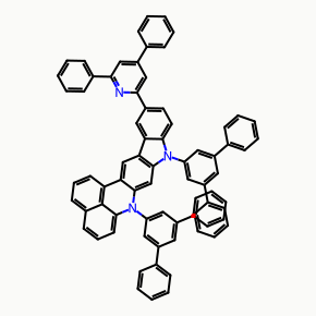 c1ccc(-c2cc(-c3ccccc3)cc(N3c4cc5c(cc4-c4cccc6cccc3c46)c3cc(-c4cc(-c6ccccc6)cc(-c6ccccc6)n4)ccc3n5-c3cc(-c4ccccc4)cc(-c4ccccc4)c3)c2)cc1